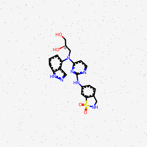 O=S1(=O)NCc2ccc(Nc3nccc(N(C[C@@H](O)CO)c4cccc5[nH]ncc45)n3)cc21